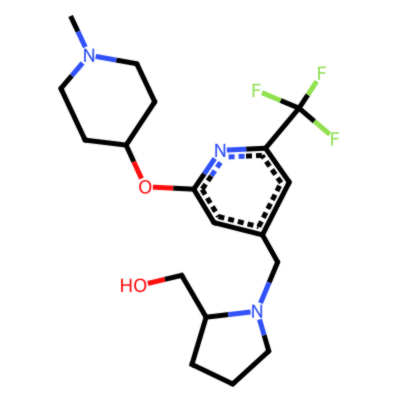 CN1CCC(Oc2cc(CN3CCCC3CO)cc(C(F)(F)F)n2)CC1